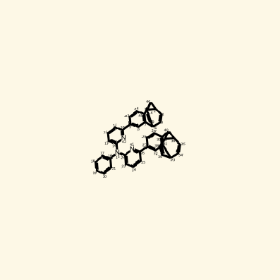 C1=CC2C3C=CC1c1cc(-c4cccc(N(c5ccccc5)c5cccc(-c6ccc7c(c6)C6C=CC8C(C=C6)C78)n5)n4)ccc1C23